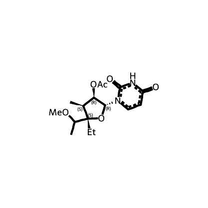 CC[C@]1(C(C)OC)O[C@@H](n2ccc(=O)[nH]c2=O)[C@H](OC(C)=O)[C@@H]1C